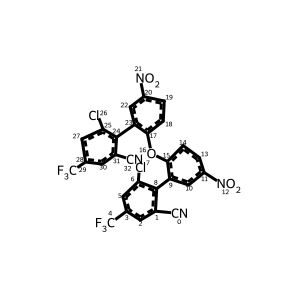 N#Cc1cc(C(F)(F)F)cc(Cl)c1-c1cc([N+](=O)[O-])ccc1Oc1ccc([N+](=O)[O-])cc1-c1c(Cl)cc(C(F)(F)F)cc1C#N